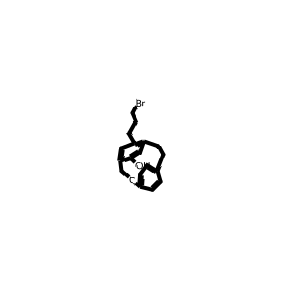 Oc1cc2c(CCCBr)cc1CCc1ccc(cc1)CC2